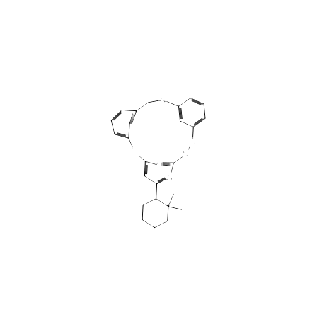 CC1(C)CCCCC1c1cc2nc(n1)NSc1cccc(c1)NCc1cccc(c1)O2